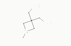 OCC1(CO)CN(I)C1